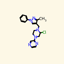 Cc1nn(-c2ccccc2)cc1CN1CCN(c2cnccn2)CC1Cl